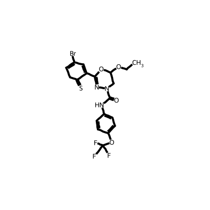 CCOC1CN(C(=O)Nc2ccc(OC(F)(F)F)cc2)N=C(C2=CC(Br)=CCC2=S)O1